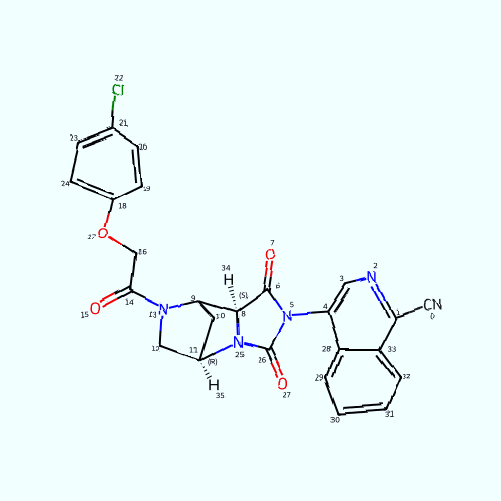 N#Cc1ncc(N2C(=O)[C@@H]3C4C[C@H](CN4C(=O)COc4ccc(Cl)cc4)N3C2=O)c2ccccc12